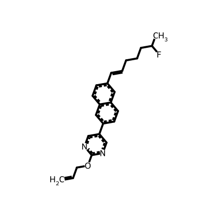 C=CCOc1ncc(-c2ccc3cc(C=CCCCC(C)F)ccc3c2)cn1